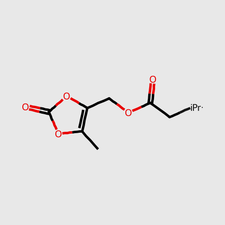 C[C](C)CC(=O)OCc1oc(=O)oc1C